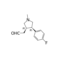 CN1C[C@H](CC=O)[C@H](c2ccc(F)cc2)C1